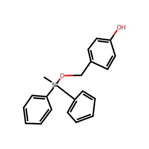 C[Si](OCc1ccc(O)cc1)(c1ccccc1)c1ccccc1